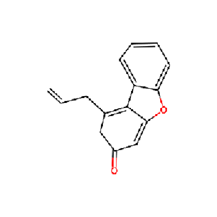 C=CCC1=c2c(oc3ccccc23)=CC(=O)C1